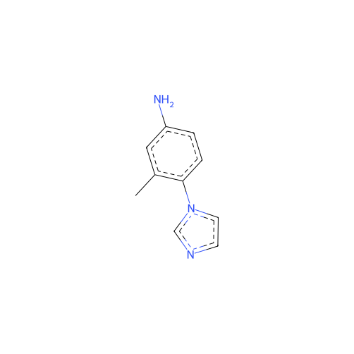 Cc1cc(N)ccc1-n1ccnc1